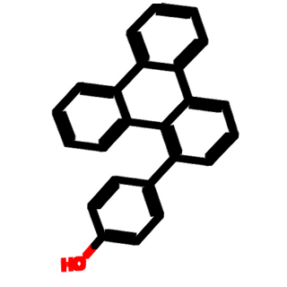 Oc1ccc(-c2cccc3c4ccccc4c4ccccc4c23)cc1